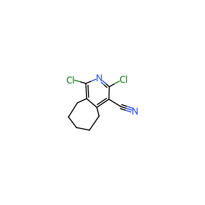 N#Cc1c(Cl)nc(Cl)c2c1CCCCC2